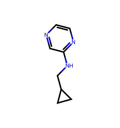 c1cnc(NCC2CC2)cn1